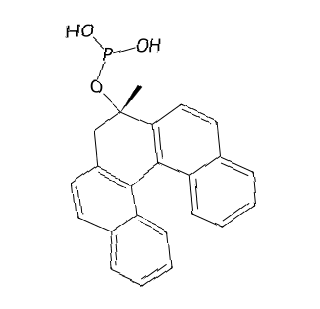 C[C@]1(OP(O)O)Cc2ccc3ccccc3c2-c2c1ccc1ccccc21